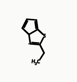 CCC1=[C]C2C=CC=C2S1